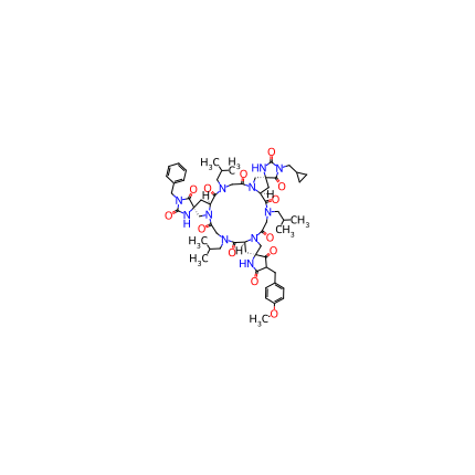 COc1ccc(CC2C(=O)N[C@]3(C[C@H]4C(=O)N(CC(C)C)CC(=O)N5C[C@]6(C[C@H]5C(=O)N(CC(C)C)CC(=O)N5C[C@]7(C[C@H]5C(=O)N(CC(C)C)CC(=O)N4C3)NC(=O)N(CC3CC3)C7=O)NC(=O)N(Cc3ccccc3)C6=O)C2=O)cc1